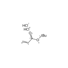 C=CC(=O)OC(C)(C)C.Cl.Cl